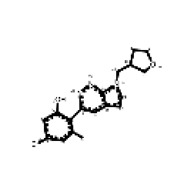 Cc1cc(Cl)cc(O)c1-c1cc2ccn(CC3CCOC3)c2nn1